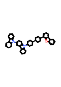 C1=Cc2c(n(-c3ccc4c(c3)c3ccccc3n4-c3ccc(-c4ccc(-c5cccc6c5oc5ccccc56)cc4)cc3)c3ccccc23)CC1